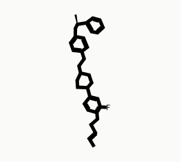 C/C=C/CCc1ccc(C2CCC(CCc3ccc(C[C@@H](C)c4ccccc4)cc3)CC2)cc1F